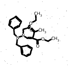 CCOC(=O)CN(C=C(C(C)=O)C(=O)OCC)N(Cc1ccccc1)Cc1ccccc1